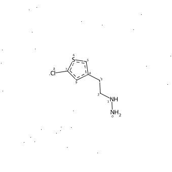 NNCCc1csc(Cl)c1